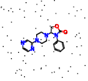 O=C1OCC(N2CCN(c3cnccn3)CC2)N1c1ccccc1